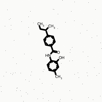 CCC(C)c1ccc(C(=O)Nc2ccc(C)cc2O)cc1